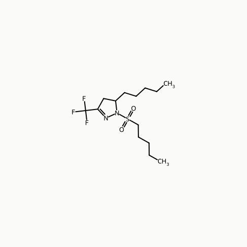 CCCCCC1CC(C(F)(F)F)=NN1S(=O)(=O)CCCCC